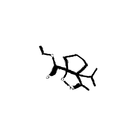 CCOC(=O)C12CCCC1(C(C)C)C(C)=NO2